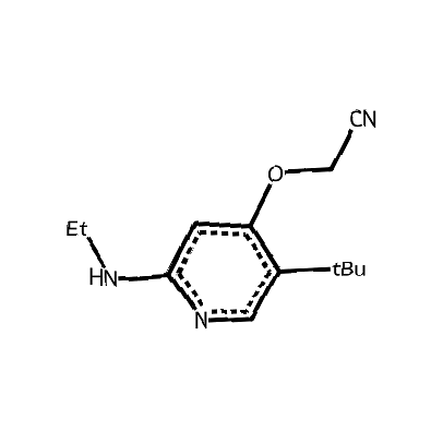 CCNc1cc(OCC#N)c(C(C)(C)C)cn1